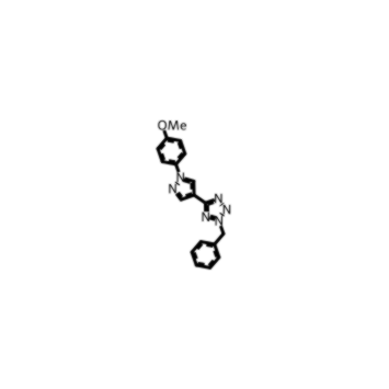 COc1ccc(-n2cc(-c3nnn(Cc4ccccc4)n3)cn2)cc1